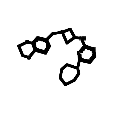 c1cc(N2CCCCCC2)nc(NC2CN(Cc3ccc4c(c3)OCCO4)C2)n1